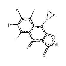 O=c1[nH]sc2c1c(=O)c1c(F)c(F)c(F)c(F)c1n2C1CC1